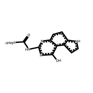 CCCCCCCC(=O)Nc1nc(O)c2c(ccc3[nH]ccc32)n1